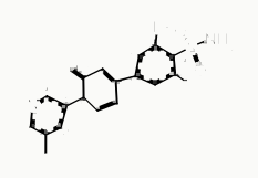 Cc1cncc(C2C=CC(c3cc(F)c(S(N)(=O)=O)c(F)c3)=CC2=S)c1